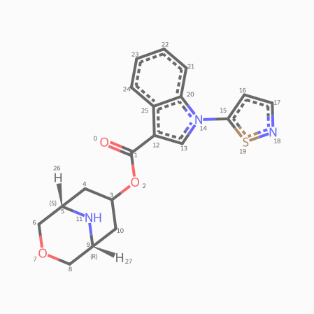 O=C(OC1C[C@H]2COC[C@@H](C1)N2)c1cn(-c2ccns2)c2ccccc12